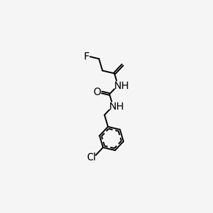 C=C(CCF)NC(=O)NCc1cccc(Cl)c1